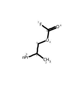 CCCC(C)COC(=O)F